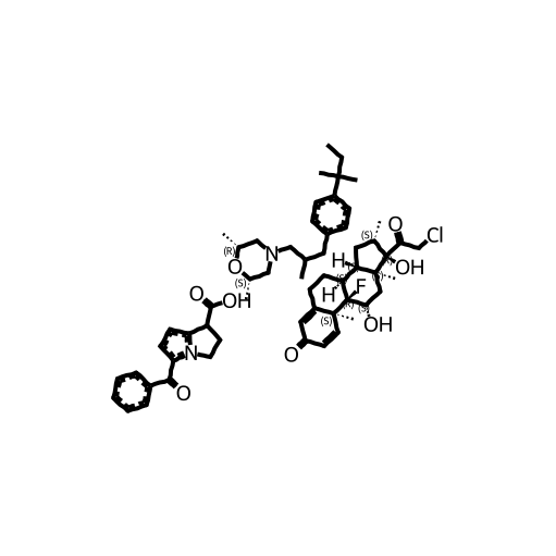 CCC(C)(C)c1ccc(CC(C)CN2C[C@@H](C)O[C@@H](C)C2)cc1.C[C@H]1C[C@H]2[C@@H]3CCC4=CC(=O)C=C[C@]4(C)[C@@]3(F)[C@@H](O)C[C@]2(C)[C@@]1(O)C(=O)CCl.O=C(c1ccccc1)c1ccc2n1CCC2C(=O)O